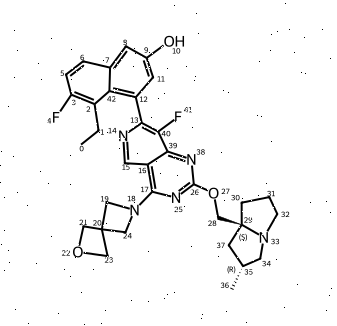 CCc1c(F)ccc2cc(O)cc(-c3ncc4c(N5CC6(COC6)C5)nc(OC[C@@]56CCCN5C[C@H](C)C6)nc4c3F)c12